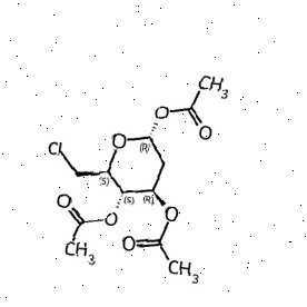 CC(=O)O[C@@H]1C[C@@H](OC(C)=O)[C@H](OC(C)=O)[C@@H](CCl)O1